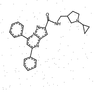 O=C(NCC1CCN(C2CC2)C1)c1cc2nc(-c3ccccc3)cc(-c3ccccc3)n2n1